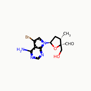 C[C@H]1C[C@H](n2cc(Br)c3c(N)ncnc32)O[C@]1(C=O)CO